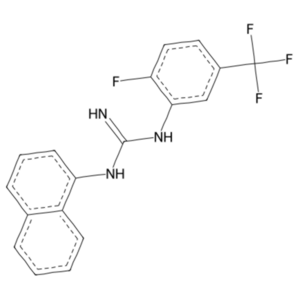 N=C(Nc1cc(C(F)(F)F)ccc1F)Nc1cccc2ccccc12